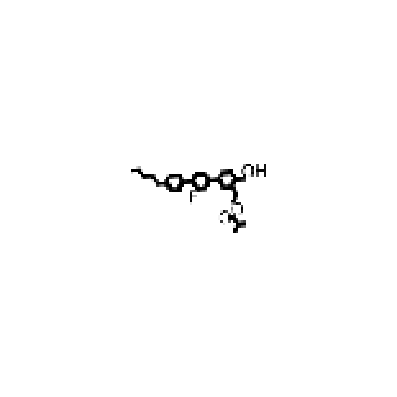 C=C(C)C(=O)OCCc1cc(-c2ccc(-c3ccc(CCCCC)cc3)c(F)c2)ccc1CO